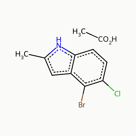 CC(=O)O.Cc1cc2c(Br)c(Cl)ccc2[nH]1